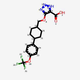 O=C(O)c1[nH]nnc1OCC1CCC(c2ccc(OC(F)(F)F)cc2)CC1